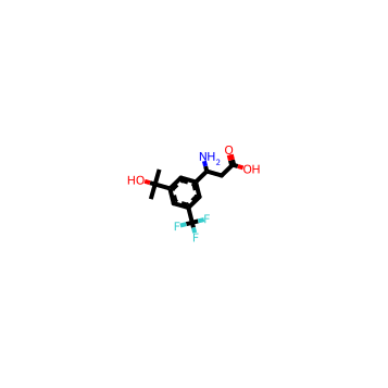 CC(C)(O)c1cc(C(N)CC(=O)O)cc(C(F)(F)F)c1